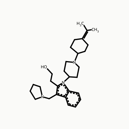 CC(C)=C1CCC(N2CCC(n3c(CCO)c(CN4CCCC4)c4ccccc43)CC2)CC1